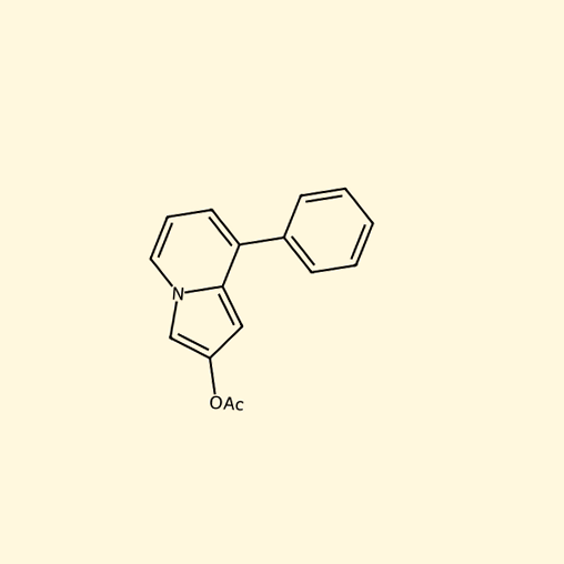 CC(=O)Oc1cc2c(-c3ccccc3)cccn2c1